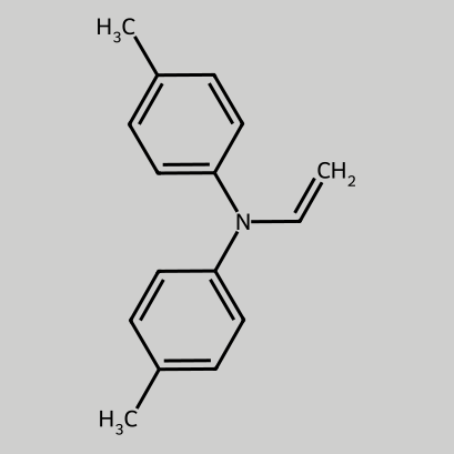 C=CN(c1ccc(C)cc1)c1ccc(C)cc1